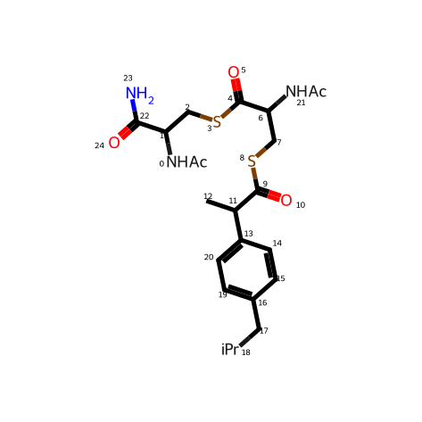 CC(=O)NC(CSC(=O)C(CSC(=O)C(C)c1ccc(CC(C)C)cc1)NC(C)=O)C(N)=O